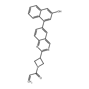 C=CC(=O)N1CC(c2ncc3cc(-c4cc(O)cc5ccccc45)ccc3n2)C1